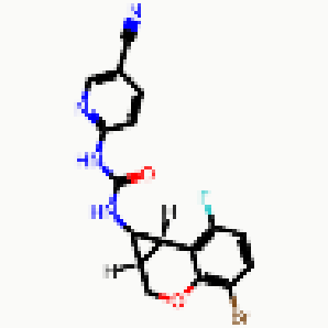 N#Cc1ccc(NC(=O)NC2[C@H]3COc4c(Br)ccc(F)c4[C@@H]23)nc1